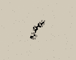 O=C(NCc1cc(-c2cnc(C(F)(F)F)nc2)ncn1)[C@@H]1CCN1